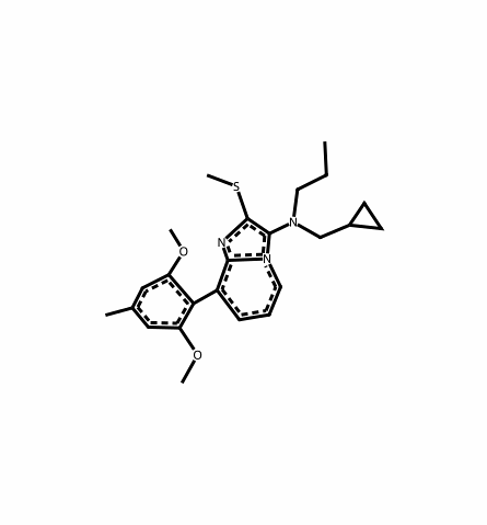 CCCN(CC1CC1)c1c(SC)nc2c(-c3c(OC)cc(C)cc3OC)cccn12